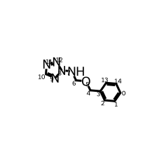 c1ccc(COCNn2ncnn2)cc1